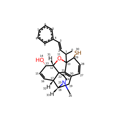 CC(C=Cc1ccccc1)C12O[C@H]3[C@@H](O)C=C[C@H]4[C@H]5CC(=C1[C@]43CCN5C)C=CC2S